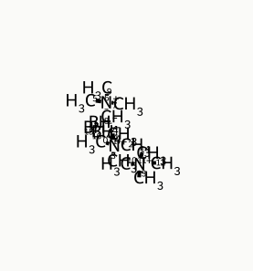 C[N+](C)(C)C.C[N+](C)(C)C.C[N+](C)(C)C.[BH4-].[BH4-].[BH4-]